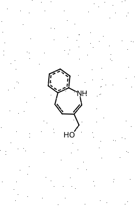 OCC1=CNc2ccccc2C=C1